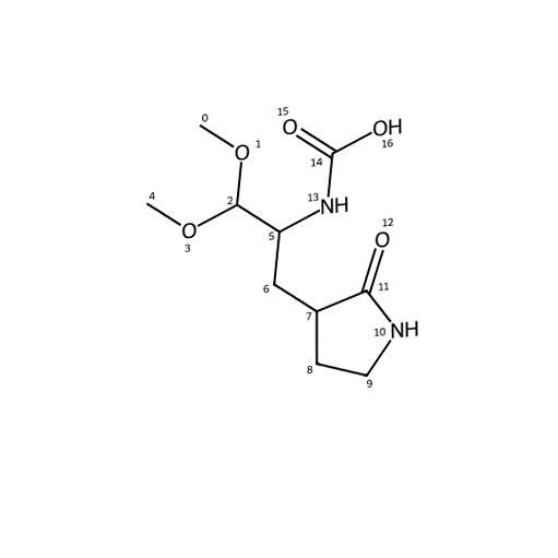 COC(OC)C(CC1CCNC1=O)NC(=O)O